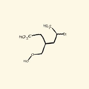 CCC(CC(COO)CC(=O)O)C(=O)O